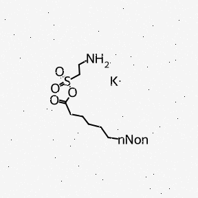 CCCCCCCCCCCCCCC(=O)OS(=O)(=O)CCN.[K]